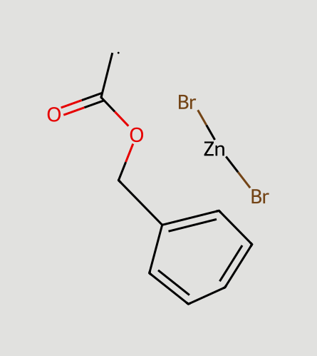 [Br][Zn][Br].[CH2]C(=O)OCc1ccccc1